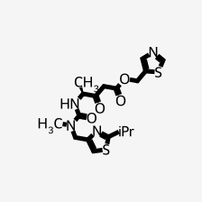 CC(C)c1nc(CN(C)C(=O)N[C@@H](C)C(=O)CC(=O)OCc2cncs2)cs1